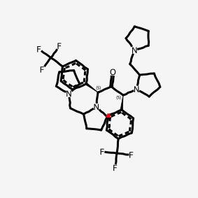 O=C([C@H](c1ccc(C(F)(F)F)cc1)N1CCCC1CN1CCCC1)[C@H](c1ccc(C(F)(F)F)cc1)N1CCCC1CN1CCCC1